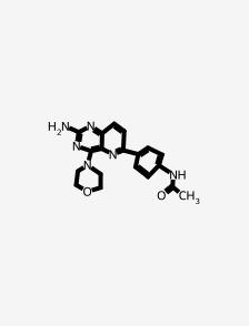 CC(=O)Nc1ccc(-c2ccc3nc(N)nc(N4CCOCC4)c3n2)cc1